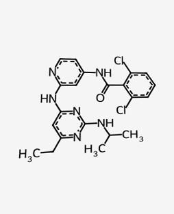 CCc1cc(Nc2cc(NC(=O)c3c(Cl)cccc3Cl)ccn2)nc(NC(C)C)n1